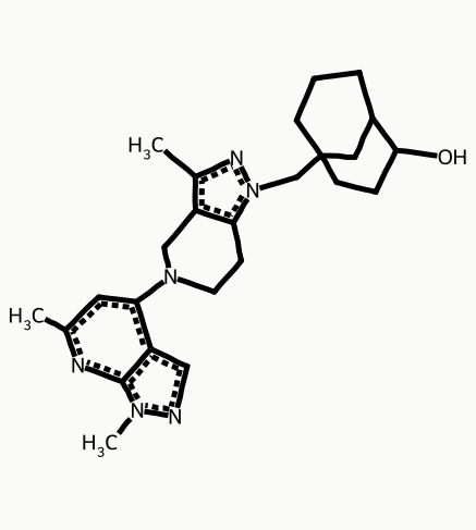 Cc1cc(N2CCc3c(c(C)nn3CC34CCCC(C3)C(O)CC4)C2)c2cnn(C)c2n1